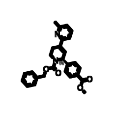 COC(=O)c1ccc([C@@H]2C=C(c3cccc(C)n3)CCN2C(=O)OCc2ccccc2)cc1